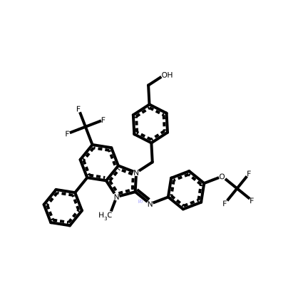 Cn1/c(=N/c2ccc(OC(F)(F)F)cc2)n(Cc2ccc(CO)cc2)c2cc(C(F)(F)F)cc(-c3ccccc3)c21